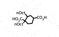 CCCCCCCCC1CC(C(=O)O)CCC1(CCCCCCCC)C(=O)O